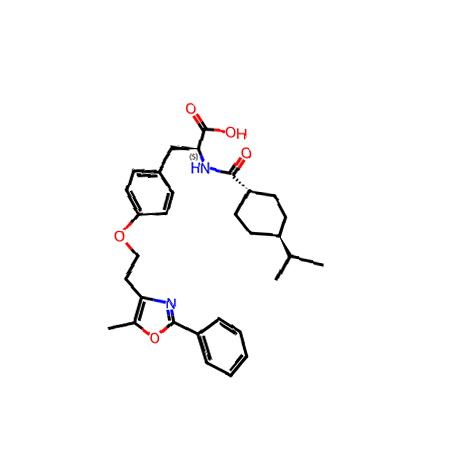 Cc1oc(-c2ccccc2)nc1CCOc1ccc(C[C@H](NC(=O)[C@H]2CC[C@H](C(C)C)CC2)C(=O)O)cc1